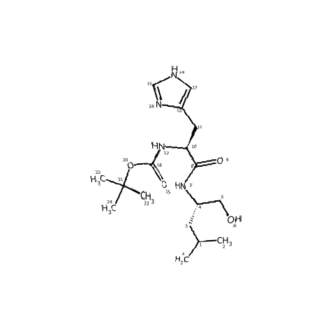 CC(C)C[C@@H](CO)NC(=O)[C@H](Cc1c[nH]cn1)NC(=O)OC(C)(C)C